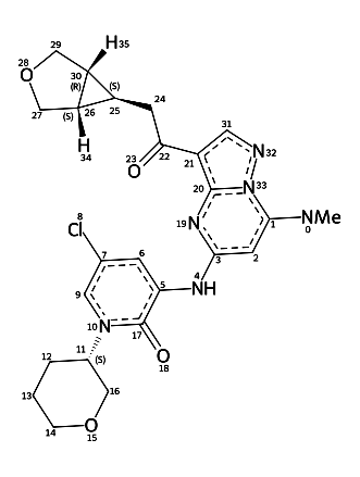 CNc1cc(Nc2cc(Cl)cn([C@H]3CCCOC3)c2=O)nc2c(C(=O)C[C@H]3[C@@H]4COC[C@@H]43)cnn12